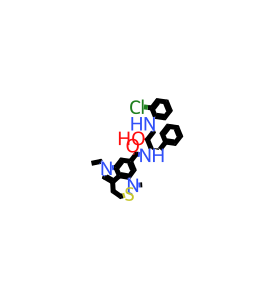 CCn1cc2c3c(cc(C(=O)N[C@@H](Cc4ccccc4)[C@H](O)CNc4ccccc4Cl)cc31)N(C)SCC2